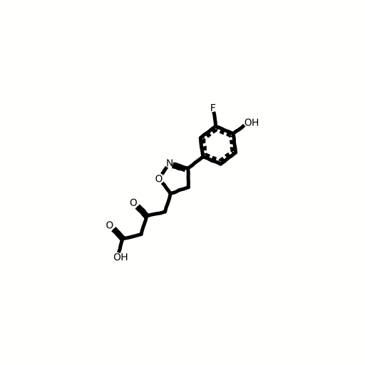 O=C(O)CC(=O)CC1CC(c2ccc(O)c(F)c2)=NO1